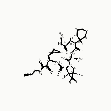 C=CCNC(=O)C(=O)C(CC1CC1)NC(=O)[C@@H]1[C@@H]2[C@H](CN1C(=O)[C@@H](NC(=O)[C@@H](NC(=O)NCC)C1(C)CCCCC1)C(C)(C)C)C2(C)C